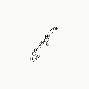 NC(=O)c1cccc(OCCO[C@@H]2CCN(c3cc4nn(C5CCC(CO)CC5)cc4cc3Br)C2)c1